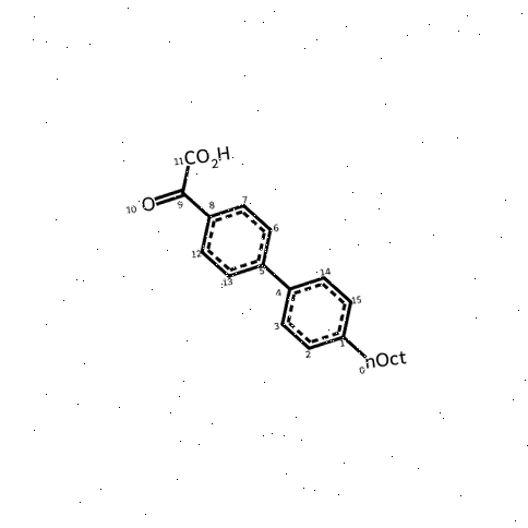 CCCCCCCCc1ccc(-c2ccc(C(=O)C(=O)O)cc2)cc1